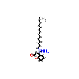 CCCCCCCCCCCCCCN(N)c1cc(=O)oc2ccccc12